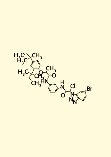 CCC(C)(C)c1ccc(OC(C)C(=O)Nc2cccc(NC(=O)C(Cl)n3nnc4ccc(Br)cc43)c2)c(C(C)(C)CC)c1